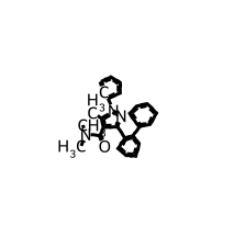 Cc1c(C(=O)N(C)C)c(-c2ccccc2-c2ccccc2)nn1-c1ccccc1